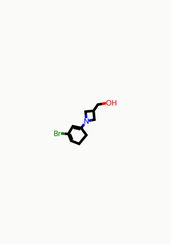 OCC1CN(C2=CC(Br)=CCC2)C1